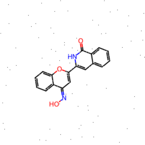 O=c1[nH]c(-c2c/c(=N/O)c3ccccc3o2)cc2ccccc12